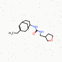 CCC1=CC2CCC(NC(=O)NCC3CCOC3)C(C1)C2